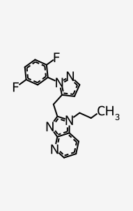 CCCn1c(Cc2ccnn2-c2cc(F)ccc2F)nc2ncccc21